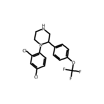 FC(F)(F)Oc1ccc(C2CNCCN2c2ccc(Cl)cc2Cl)cc1